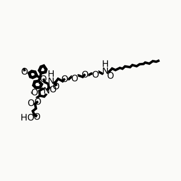 CCCCCCCCCCCCCCCC(=O)NCCOCCOCCOCCOCCC(=O)NC(COC(c1ccccc1)(c1ccc(OC)cc1)c1ccc(OC)cc1)C(=O)N1CCC(COC(=O)CCC(=O)O)CC1